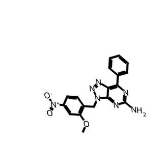 COc1cc([N+](=O)[O-])ccc1Cn1nnc2c(-c3ccccc3)nc(N)nc21